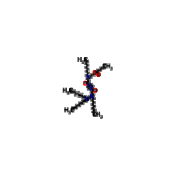 CCCCCCCCCN(CCCOC(=O)CCCCC)CCC(=O)N1CCN(C(=O)CCN(CCCCCCCCC)CCN(CCCCCCCCC)CCCCCCCCC)CC1